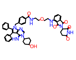 N=c1c2c(-c3ccccc3)c(-c3ccccc3)n(Cc3ccc(C(=O)NCCOCCNc4cccc5c4C(=O)N(C4CCC(=O)NC4=O)C5=O)cc3)c2ncn1C1CCC(O)CC1